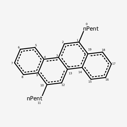 CCCCCc1cc2c3ccccc3c(CCCCC)cc2c2ccccc12